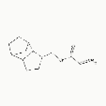 C=CC(=O)OCC1CCC2C3CCC(C3)C12